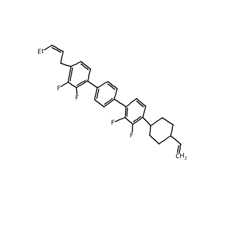 C=CC1CCC(c2ccc(-c3ccc(-c4ccc(C/C=C\CC)c(F)c4F)cc3)c(F)c2F)CC1